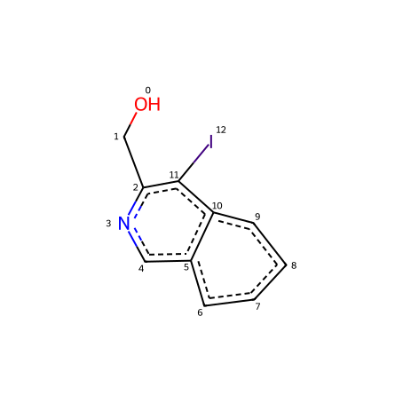 OCc1ncc2ccccc2c1I